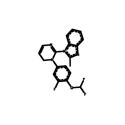 Cc1nc2ccccc2n1C1=NC=CCN1c1ccc(OC(F)F)c(F)c1